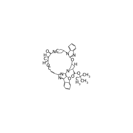 C[C@@H]1CC(=O)N2CCC(CC2)n2c(nc3ccccc32)O[C@H]2C[C@@H](C(=O)OC(C)(C)C)N(C2)c2nc(nc3c2oc2ccccc23)/C=C\CO1